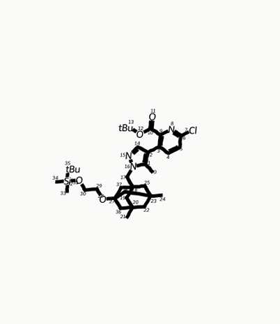 Cc1c(-c2ccc(Cl)nc2C(=O)OC(C)(C)C)cnn1CC12CC3(C)CC(C)(C1)CC(OCCO[Si](C)(C)C(C)(C)C)(C3)C2